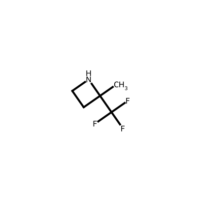 CC1(C(F)(F)F)CCN1